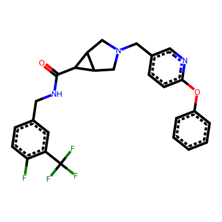 O=C(NCc1ccc(F)c(C(F)(F)F)c1)C1C2CN(Cc3ccc(Oc4ccccc4)nc3)CC21